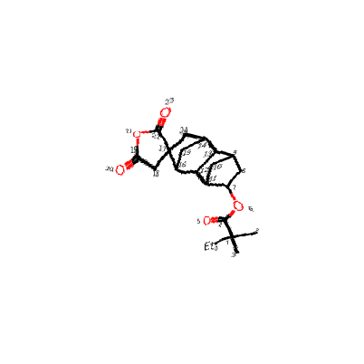 CCC(C)(C)C(=O)OC1CC2CC1C1C2C2CC1C1(CC(=O)OC1=O)C2